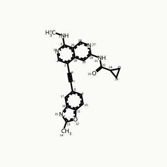 CNc1ncc(C#Cc2ccc3oc(C)nc3c2)c2cc(NC(=O)C3CC3)ncc12